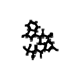 Cc1cc([C@@H](C)N[S+]([O-])C(C)(C)C)c2nc(-c3nn(C)c4ccccc34)n(C)c(=O)c2c1